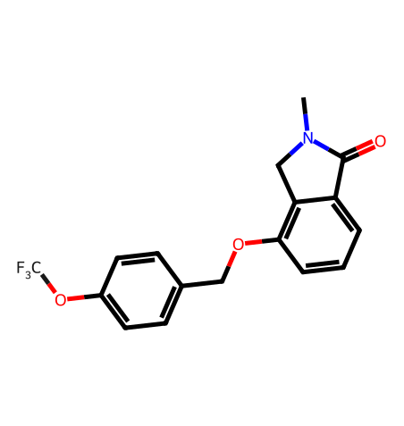 CN1Cc2c(OCc3ccc(OC(F)(F)F)cc3)cccc2C1=O